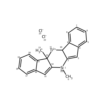 C[SiH]1C2=Cc3ccccc3[CH]2[Ti+2][C]2(C)C1=Cc1ccccc12.[Cl-].[Cl-]